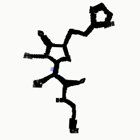 C#CCNC(=O)/C(C#N)=C1\SC(CCc2ncc[nH]2)C(=O)N1CC